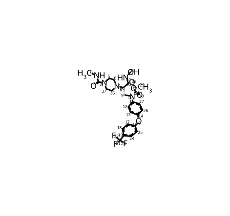 CNC(=O)N1CCN([C@@H](CN(c2ccc(Oc3ccc(C(F)(F)F)cc3)cc2)S(C)(=O)=O)C(=O)NO)CC1